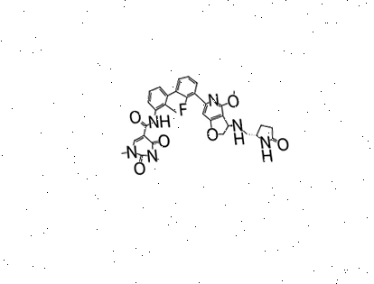 COc1nc(-c2cccc(-c3cccc(NC(=O)c4cn(C)c(=O)n(C)c4=O)c3C)c2F)cc2c1[C@@H](NC[C@@H]1CCC(=O)N1)CO2